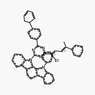 CC/C(=C\C=C(/C)c1ccccc1)c1nc(-c2ccc(C3C=CC=CC3)cc2)nc(-n2c3ccccc3c3ccc4c5ccccc5n(-c5ccccc5)c4c32)n1